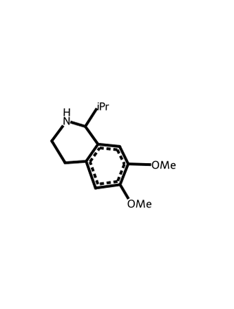 COc1cc2c(cc1OC)C(C(C)C)NCC2